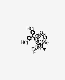 COc1nc(C2CC2)nc(OCC(F)F)c1CN1CC2CN(C(=O)c3cnccn3)CCN2C(C(c2ccccc2)c2ccccc2)C1.Cl.Cl